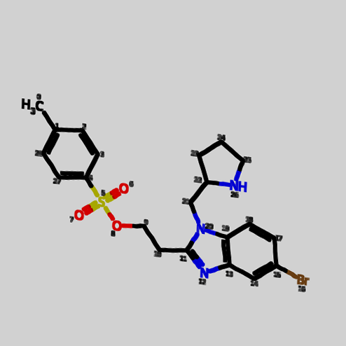 Cc1ccc(S(=O)(=O)OCCc2nc3cc(Br)ccc3n2CC2CCCN2)cc1